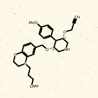 C#CCO[C@@H]1CNC[C@H](OCc2ccc3c(c2)N(CCCOC)CCO3)C1c1ccc(OC)cc1